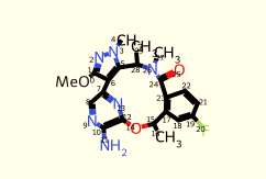 COc1nn(C)c2c1-c1cnc(N)c(n1)OC(C)c1cc(F)ccc1C(=O)N(C)C2C